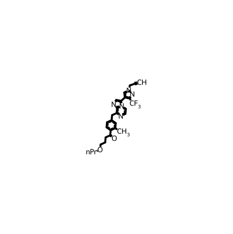 C#CCn1cc(-c2cnc3c(Cc4ccc(C(=O)CCCOCCC)c(C)c4)nccn23)c(C(F)(F)F)n1